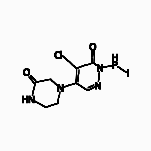 O=C1CN(c2cnn(PI)c(=O)c2Cl)CCN1